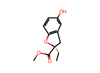 CC[C@@]1(C(=O)OC)Cc2cc(O)ccc2O1